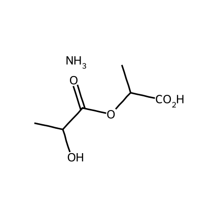 CC(O)C(=O)OC(C)C(=O)O.N